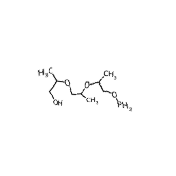 CC(CO)OCC(C)OC(C)COP